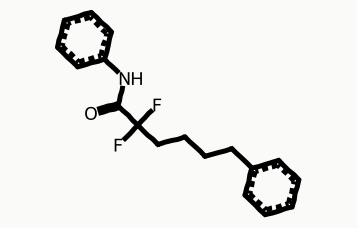 O=C(Nc1ccccc1)C(F)(F)CCCCc1ccccc1